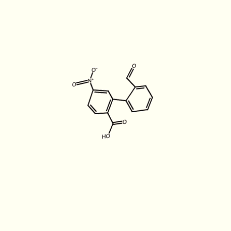 O=Cc1ccccc1-c1cc([N+](=O)[O-])ccc1C(=O)O